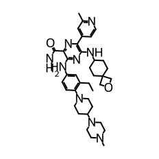 CCc1cc(Nc2nc(NC3CCC4(CC3)COC4)c(-c3ccnc(C)c3)nc2C(N)=O)ccc1N1CCC(N2CCN(C)CC2)CC1